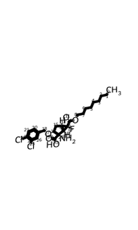 CCCCCCCCCOC(=O)[C@@]1(F)[C@@H]2C[C@@H](OCc3ccc(Cl)c(Cl)c3)[C@@](N)(C(=O)O)[C@@H]21